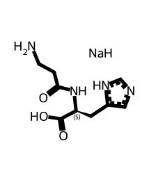 NCCC(=O)N[C@@H](Cc1cnc[nH]1)C(=O)O.[NaH]